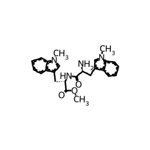 COC(=O)[C@H](Cc1cn(C)c2ccccc12)NC(=O)[C@@H](N)Cc1cn(C)c2ccccc12